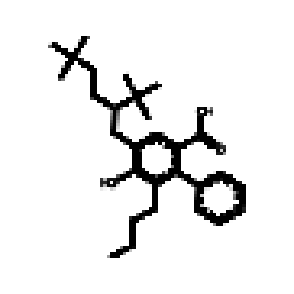 CCCCc1c(O)c(CC(CCC(C)(C)C)C(C)(C)C)cc(C(=O)O)c1-c1ccccc1